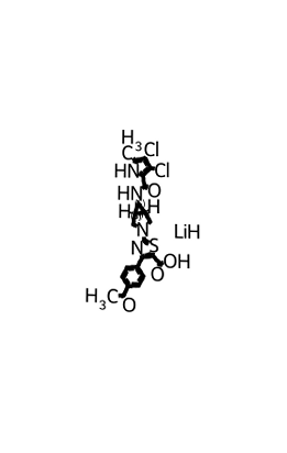 CC(=O)c1ccc(-c2nc(N3C[C@@H]4[C@H](C3)[C@H]4NC(=O)c3[nH]c(C)c(Cl)c3Cl)sc2C(=O)O)cc1.[LiH]